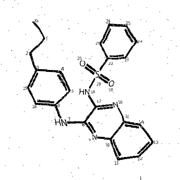 CCCc1ccc(Nc2nc3ccccc3nc2NS(=O)(=O)c2ccccc2)cc1